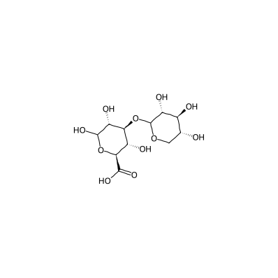 O=C(O)[C@H]1OC(O)[C@H](O)[C@@H](OC2OC[C@@H](O)[C@H](O)[C@H]2O)[C@@H]1O